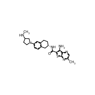 CNC1CCN(c2ccc3c(c2)CC[C@H](NC(=O)c2sc4nc(C)cnc4c2N)C3)C1